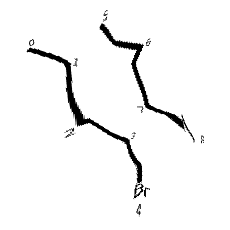 CCCCBr.CCCI